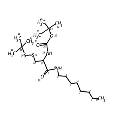 CCCCCCCCNC(=O)C(CSSC(C)(C)C)NC(=O)OC(C)(C)C